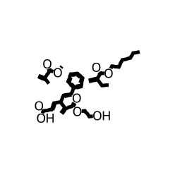 C=C(C(=O)OCCO)C(C=CC(=O)O)C=Cc1ccccc1.C=C(C)C(=O)OC.C=C(CC)C(=O)OCCCCCC